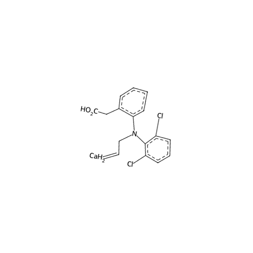 C=CCN(c1ccccc1CC(=O)O)c1c(Cl)cccc1Cl.[CaH2]